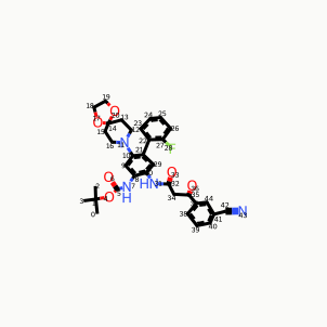 CC(C)(C)OC(=O)Nc1cc(N2CCC3(CC2)OCCO3)c(-c2ccccc2F)cc1NC(=O)CC(=O)c1cccc(C#N)c1